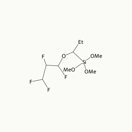 CCC(OC(F)C(F)C(F)F)[Si](OC)(OC)OC